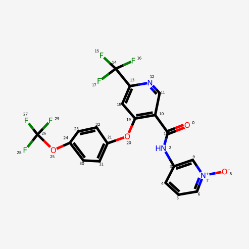 O=C(Nc1ccc[n+]([O-])c1)c1cnc(C(F)(F)F)cc1Oc1ccc(OC(F)(F)F)cc1